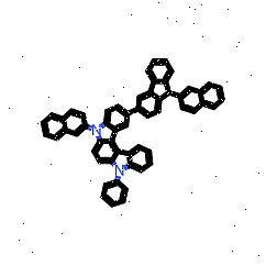 c1ccc(-n2c3ccccc3c3c4c5cc(-c6ccc7c(c6)-c6ccccc6C7c6ccc7ccccc7c6)ccc5n(-c5ccc6ccccc6c5)c4ccc32)cc1